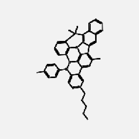 CCCCCc1ccc2c(c1)-c1cc(C)c3c4cc5ccccc5c5c4n4c3c1B(c1cccc(c1-4)C5(C)C)N2c1ccc(C)cc1